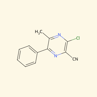 Cc1nc(Cl)c(C#N)nc1-c1ccccc1